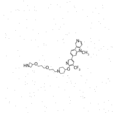 Cn1c2ccncc2c2ccc(-c3cnc(OC4CCN(CCCOCCCOC5CNC5)CC4)c(C(F)(F)F)c3)cc21